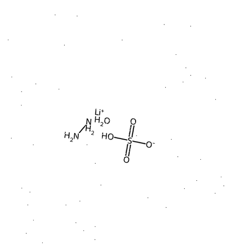 NN.O.O=S(=O)([O-])O.[Li+]